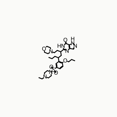 CCCOc1ccc(S(=O)(=O)N2CCN(CC)CC2)cc1C(CCC)CC(CCN1CCOCC1)c1nc2cn[nH]c2c(=O)[nH]1